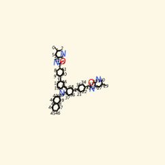 Cc1cnc2oc(-c3ccc(-c4ccc5c(c4)c4cc(-c6ccc(-c7nc8cc(C)cnc8o7)cc6)ccc4n5-c4ccc5ccccc5c4)cc3)nc2c1